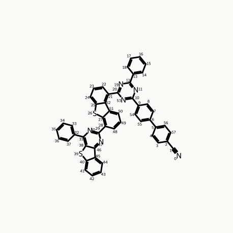 N#Cc1ccc(-c2ccc(-c3nc(-c4ccccc4)nc(-c4cccc5sc6c(-c7nc(-c8ccccc8)c8sc9ccccc9c8n7)cccc6c45)n3)cc2)cc1